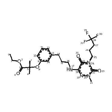 CCOC(=O)C(C)(C)Oc1cccc(CCCNc2nn(C)c(=O)n(CCCC(F)(F)F)c2=O)c1